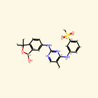 Cc1cnc(Nc2ccc3c(c2)B(O)OC3(C)C)nc1Nc1cccc(S(C)(=O)=O)c1